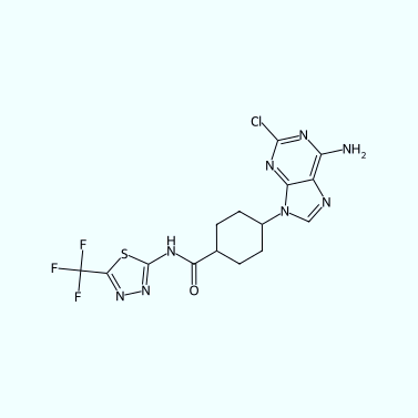 Nc1nc(Cl)nc2c1ncn2C1CCC(C(=O)Nc2nnc(C(F)(F)F)s2)CC1